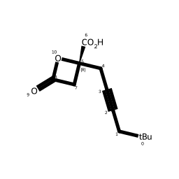 CC(C)(C)CC#CC[C@]1(C(=O)O)CC(=O)O1